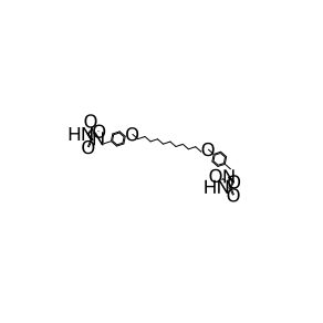 O=c1[nH]c(=O)n(Cc2ccc(OCCCCCCCCCCCOc3ccc(Cn4oc(=O)[nH]c4=O)cc3)cc2)o1